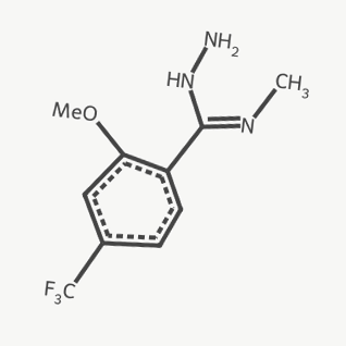 CN=C(NN)c1ccc(C(F)(F)F)cc1OC